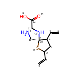 C=CC1CC(C=C)[C@](CN)(NCC(=O)O)S1